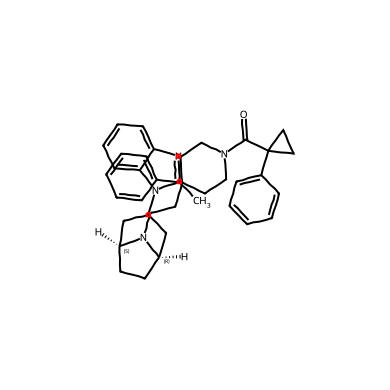 Cc1nc2ccccc2n1C1C[C@H]2CC[C@@H](C1)N2CCC1(c2ccccc2)CCN(C(=O)C2(c3ccccc3)CC2)CC1